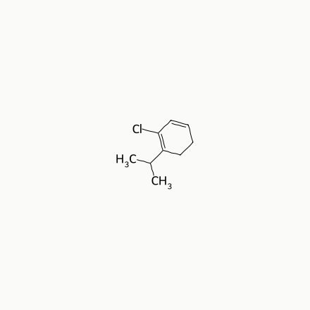 CC(C)C1=C(Cl)C=CCC1